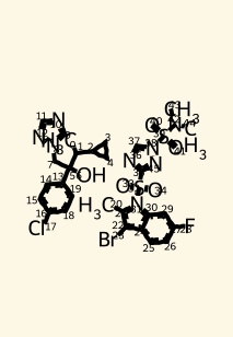 CC(C1CC1)C(O)(Cn1cncn1)c1ccc(Cl)cc1.Cc1c(Br)c2ccc(F)cc2n1S(=O)(=O)c1ncn(S(=O)(=O)N(C)C)n1